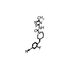 Cc1nsc(NC(=O)N2CCC/C(=C/c3ccc(C#N)cc3F)CC2)n1